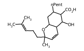 CCCCCC1CC2OC(C)(CCC=C(C)C)C=CC2C(O)C1C(=O)O